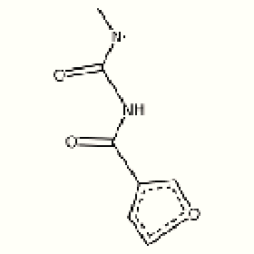 C[N]C(=O)NC(=O)c1ccoc1